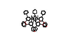 C1=CCCC(C2=NP(c3cc(C4=CC=CCC4)cc(-c4ccccc4)c3)(c3cc(C4=CC=CCC4)cc(C4C=CC=CC4)c3)=NP(c3cc(C4=CC=CCC4)cc(-c4ccccc4)c3)(c3cc(-c4ccccc4)cc(-c4ccccc4)c3)=N2)=C1